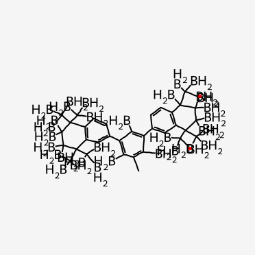 Bc1c(C)c(B)c(-c2ccc3c(c2)C(C(B)(B)B)(C(B)(B)B)C(B)(B)C(B)(B)C3(C(B)(B)B)C(B)(B)B)c(B)c1-c1ccc2c(c1)C(C(B)(B)B)(C(B)(B)B)C(B)(B)C(B)(B)C2(B)C(B)(B)B